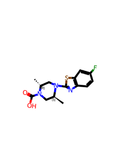 C[C@@H]1CN(c2nc3ccc(F)cc3s2)[C@@H](C)CN1C(=O)O